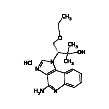 CCOC[C@@H](n1cnc2c(N)nc3ccccc3c21)C(C)(C)O.Cl